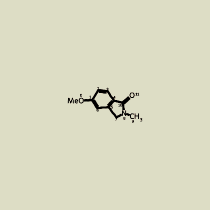 COc1ccc2c(c1)CN(C)C2=O